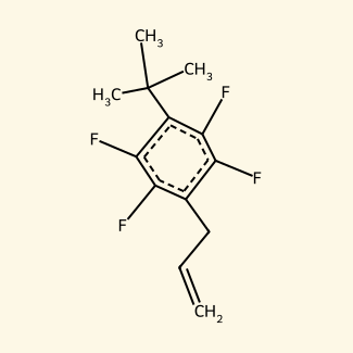 C=CCc1c(F)c(F)c(C(C)(C)C)c(F)c1F